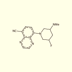 CNC1CC(F)CN(c2ccc(C#N)c3nccnc23)C1